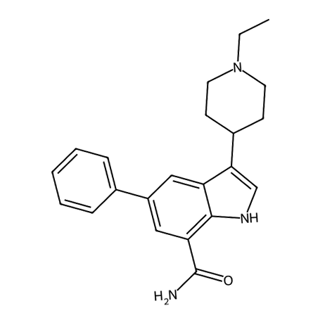 CCN1CCC(c2c[nH]c3c(C(N)=O)cc(-c4ccccc4)cc23)CC1